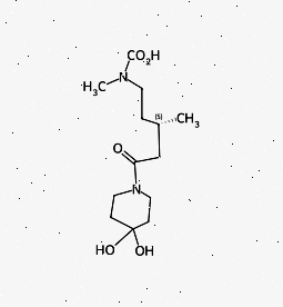 C[C@@H](CCN(C)C(=O)O)CC(=O)N1CCC(O)(O)CC1